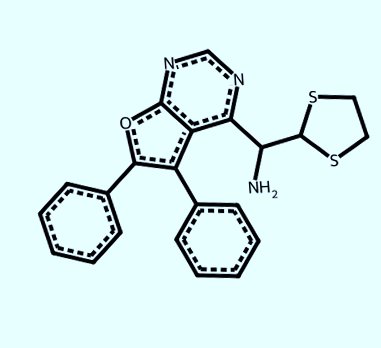 NC(c1ncnc2oc(-c3ccccc3)c(-c3ccccc3)c12)C1SCCS1